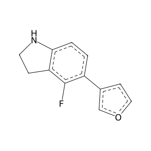 Fc1c(-c2ccoc2)ccc2c1CCN2